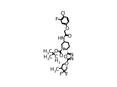 CC(COc1nnc([C@H]2CC[C@H](NC(=O)COc3ccc(Cl)c(F)c3)CN2C(=O)OC(C)(C)C)o1)C(F)(F)F